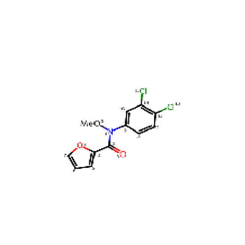 CON(C(=O)c1ccco1)c1ccc(Cl)c(Cl)c1